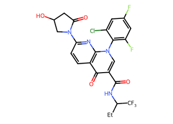 CCC(NC(=O)c1cn(-c2c(F)cc(F)cc2Cl)c2nc(N3CC(O)CC3=O)ccc2c1=O)C(F)(F)F